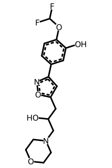 Oc1cc(-c2cc(CC(O)CN3CCOCC3)on2)ccc1OC(F)F